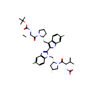 CC[C@H](NC(=O)OC(C)(C)C)C(=O)N1C[C@@H](F)C[C@H]1Cc1c(-c2nc3cc(F)ccc3n2C[C@@H]2C[C@H](F)CN2C(=O)[C@@H](NC(=O)O)C(C)C)[nH]c2cc(F)ccc12